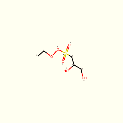 CCOOS(=O)(=O)CC(O)CO